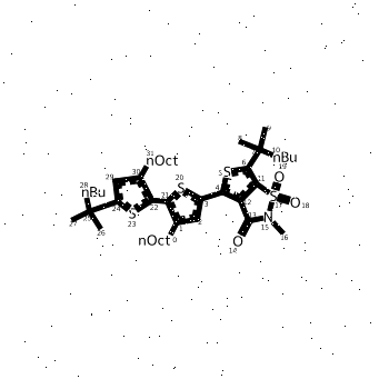 CCCCCCCCc1cc(-c2sc(C(C)(C)CCCC)c3c2C(=O)N(C)S3(=O)=O)sc1-c1sc(C(C)(C)CCCC)cc1CCCCCCCC